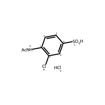 CC(=O)Nc1ccc(S(=O)(=O)O)cc1Cl.Cl